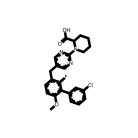 COc1ccc(Cc2cnc(N3CCCCC3C(=O)O)nc2)c(F)c1-c1cccc(Cl)c1